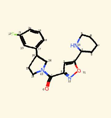 O=C(c1cc(C2CCCCN2)on1)N1CCC(c2cccc(F)c2)C1